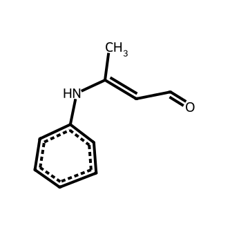 CC(=CC=O)Nc1ccccc1